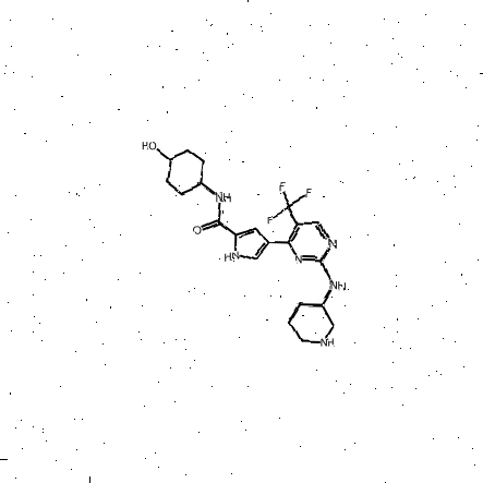 O=C(NC1CCC(O)CC1)c1cc(-c2nc(NC3CCCNC3)ncc2C(F)(F)F)c[nH]1